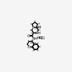 Cl.Cl.O=C(N[C@@H]1CCOc2ccccc21)C1CN2CCC[C@@H]2CN1